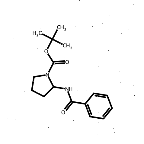 CC(C)(C)OC(=O)N1CCCC1NC(=O)c1ccccc1